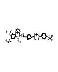 Cc1cc(C)c(N2CCS/C2=N\N=C\c2ccc(C(=N)/N=C\Nc3ccc(OC(F)(F)F)cc3)cc2)c(C)c1